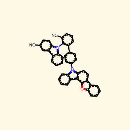 N#Cc1ccc2c(c1)c1ccccc1n2-c1c(C#N)cccc1-c1ccc(-n2c3ccccc3c3c4oc5ccccc5c4ccc32)cc1